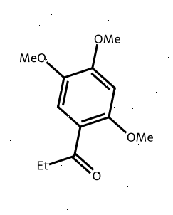 CCC(=O)c1cc(OC)c(OC)cc1OC